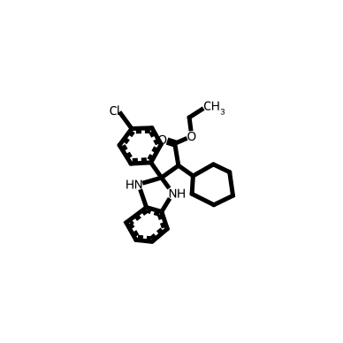 CCOC(=O)C(C1CCCCC1)C1(c2ccc(Cl)cc2)Nc2ccccc2N1